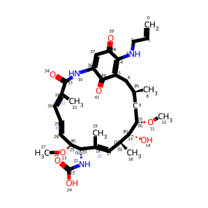 C=CCNC1=C2C[C@@H](C)C[C@H](OC)[C@H](O)[C@@H](C)/C=C(\C)[C@H](NC(=O)O)[C@H](OC)/C=C/C=C(\C)C(=O)NC(=CC1=O)C2=O